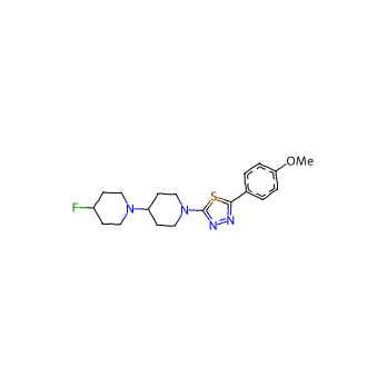 COc1ccc(-c2nnc(N3CCC(N4CCC(F)CC4)CC3)s2)cc1